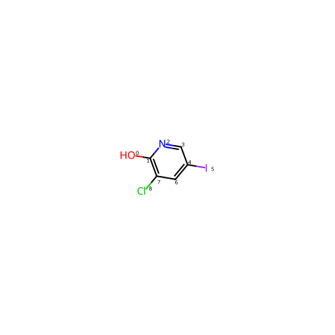 Oc1ncc(I)cc1Cl